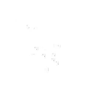 CC(C)(C)[C@@H](C(=O)N1CC(O)CC1C(=O)NCCCC(=O)N1Cc2ccccc2C1)n1cc(C2CC2)nn1